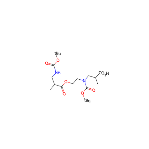 CC(CN(CCOC(=O)C(C)CNC(=O)OC(C)(C)C)C(=O)OC(C)(C)C)C(=O)O